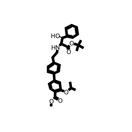 COC(=O)c1ccc(-c2ccc(CCNC(C(=O)OC(C)(C)C)[C@H](O)c3ccccc3)cc2)cc1OC(C)C